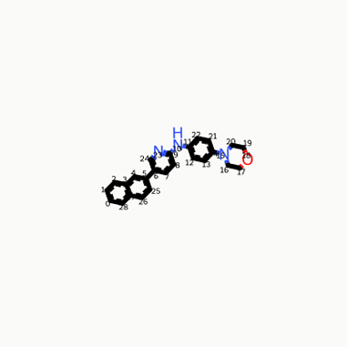 c1ccc2cc(-c3ccc(Nc4ccc(N5CCOCC5)cc4)nc3)ccc2c1